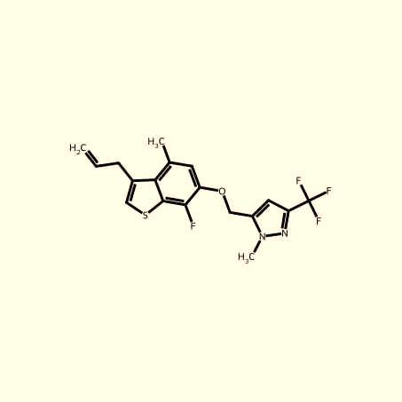 C=CCc1csc2c(F)c(OCc3cc(C(F)(F)F)nn3C)cc(C)c12